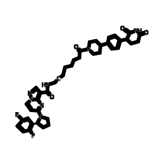 O=C1CCC(c2ccc(C3CCN(C(=O)CCCCCCCNC(=O)c4cnn5ccc(N6CCC[C@@H]6c6cc(F)ccc6F)nc45)CC3)cc2)C(=O)N1